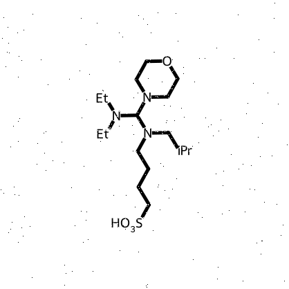 CCN(CC)C(N1CCOCC1)N(CCCCS(=O)(=O)O)CC(C)C